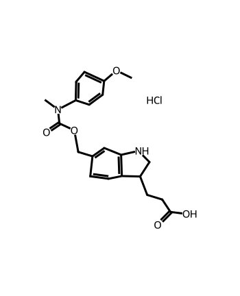 COc1ccc(N(C)C(=O)OCc2ccc3c(c2)NCC3CCC(=O)O)cc1.Cl